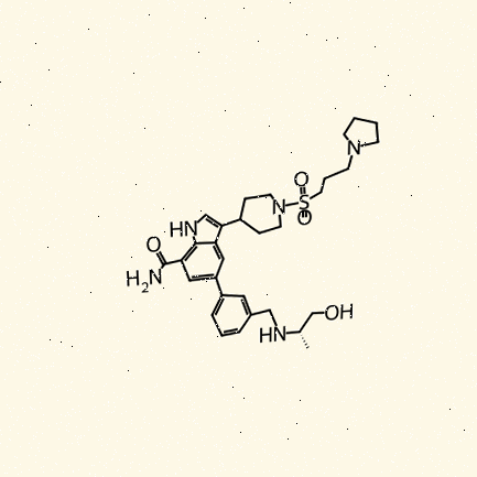 C[C@@H](CO)NCc1cccc(-c2cc(C(N)=O)c3[nH]cc(C4CCN(S(=O)(=O)CCCN5CCCC5)CC4)c3c2)c1